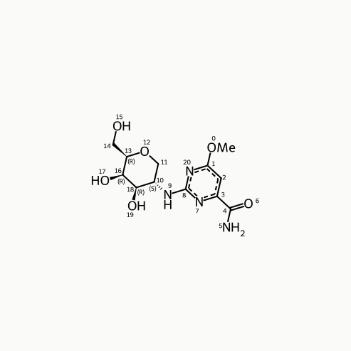 COc1cc(C(N)=O)nc(N[C@H]2CO[C@H](CO)[C@H](O)[C@@H]2O)n1